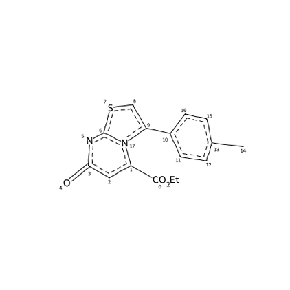 CCOC(=O)c1cc(=O)nc2scc(-c3ccc(C)cc3)n12